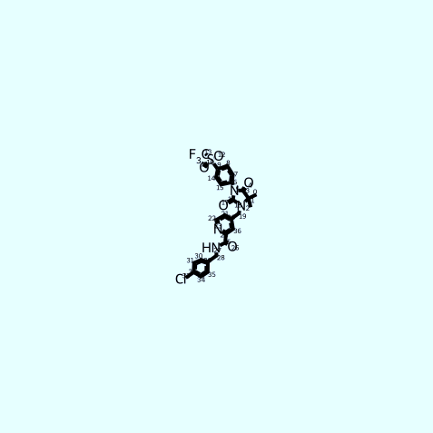 CC1(C)C(=O)N(c2ccc(S(=O)(=O)C(F)(F)F)cc2)C(=O)N1Cc1ccnc(C(=O)NCc2ccc(Cl)cc2)c1